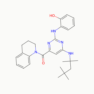 CC(C)(C)CC(C)(C)Nc1cc(C(=O)N2CCCc3ccccc32)nc(Nc2ccccc2O)n1